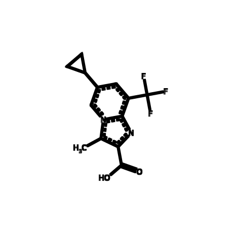 Cc1c(C(=O)O)nc2c(C(F)(F)F)cc(C3CC3)cn12